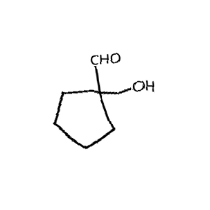 O=CC1(O)CCCC1